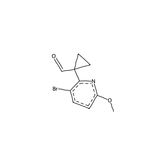 COc1ccc(Br)c(C2(C=O)CC2)n1